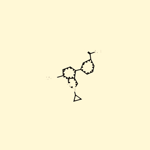 COc1ccc(-c2cccc(C(N)=O)c2)c2cn(C3CC3)nc12